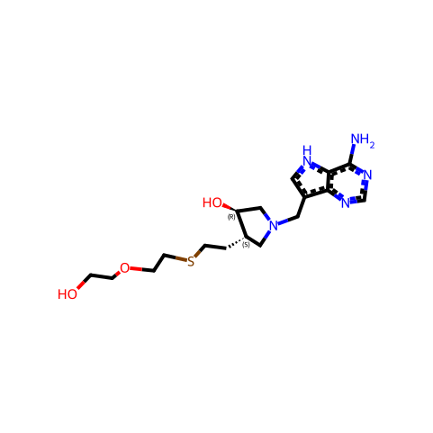 Nc1ncnc2c(CN3C[C@H](CCSCCOCCO)[C@@H](O)C3)c[nH]c12